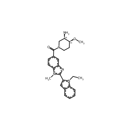 CCn1c(-c2nc3cc(C(=O)N4CC[C@H](OC)[C@H](N)C4)ccc3n2C)cc2ccccc21